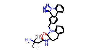 CC(C)(N)CC(=O)N[C@@H]1CCc2ccccc2N(Cc2ccc(-c3ccccc3)c(-c3nnn[nH]3)c2)C1=O